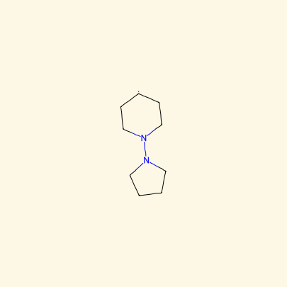 [CH]1CCN(N2CCCC2)CC1